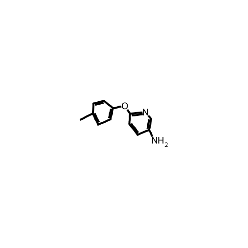 Cc1ccc(Oc2ccc(N)cn2)cc1